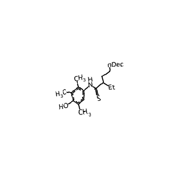 CCCCCCCCCCCCC(CC)C(=S)Nc1cc(C)c(O)c(C)c1C